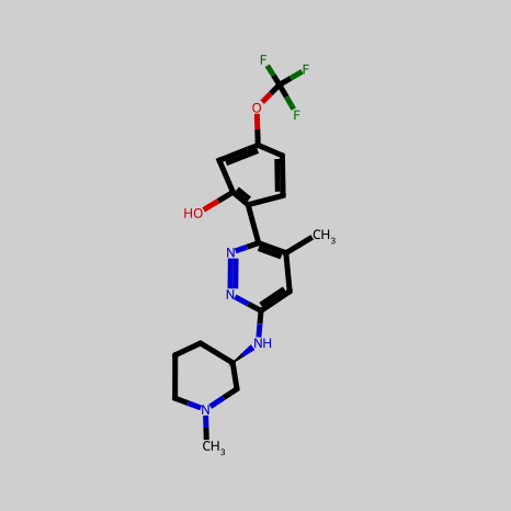 Cc1cc(N[C@@H]2CCCN(C)C2)nnc1-c1ccc(OC(F)(F)F)cc1O